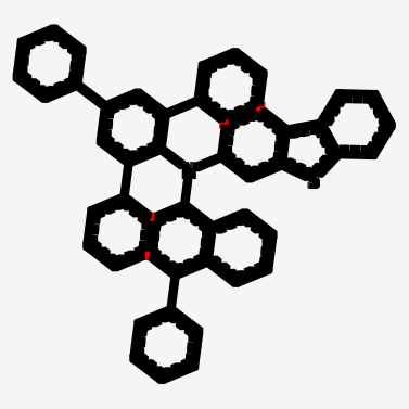 c1ccc(-c2cc(-c3ccccc3)c(N(c3ccc4c(c3)sc3ccccc34)c3ccc(-c4ccccc4)c4ccccc34)c(-c3ccccc3)c2)cc1